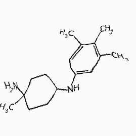 Cc1cc(NC2CCC(C)(N)CC2)cc(C)c1C